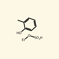 CCOS(=O)(=O)O.Cc1ccccc1O